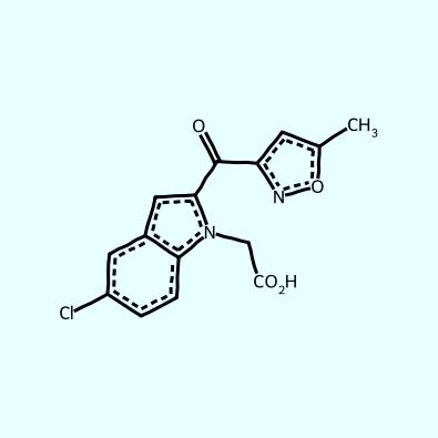 Cc1cc(C(=O)c2cc3cc(Cl)ccc3n2CC(=O)O)no1